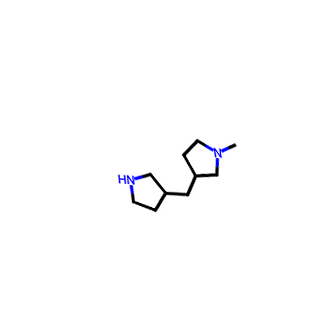 CN1CCC(CC2CCNC2)C1